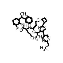 C=C(c1ccccc1)c1cccc(F)c1NC(=O)C(CCC)N/C(=C\CC)OC(C)c1nc(C2CCC2)sc1-c1cnc(CC)nc1